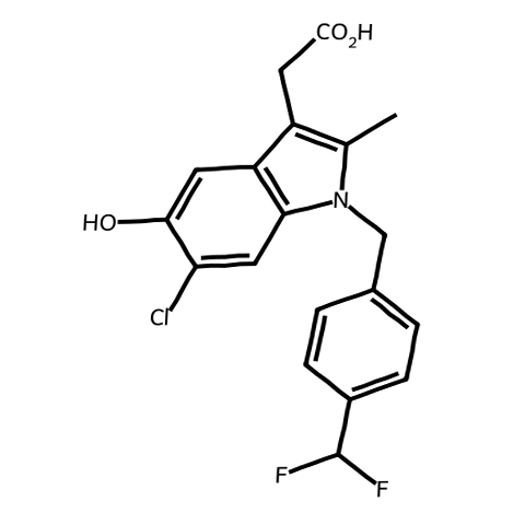 Cc1c(CC(=O)O)c2cc(O)c(Cl)cc2n1Cc1ccc(C(F)F)cc1